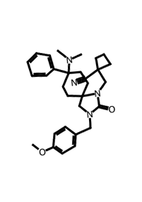 COc1ccc(CN2CC3(CCC(c4ccccc4)(N(C)C)CC3)N(CC3(C#N)CCC3)C2=O)cc1